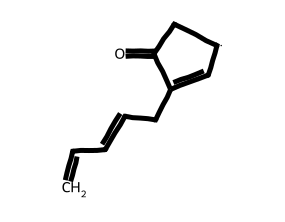 C=C/C=C/CC1=C[CH]CC1=O